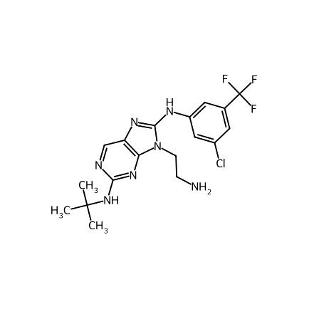 CC(C)(C)Nc1ncc2nc(Nc3cc(Cl)cc(C(F)(F)F)c3)n(CCN)c2n1